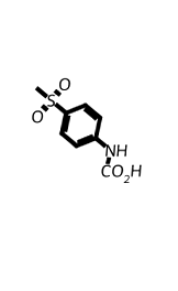 CS(=O)(=O)c1ccc(NC(=O)O)cc1